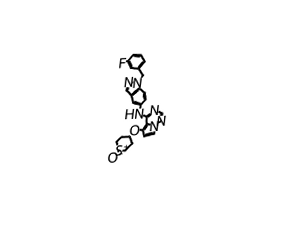 [O-][S+]1CCC(Oc2ccn3ncnc(Nc4ccc5c(cnn5Cc5cccc(F)c5)c4)c23)CC1